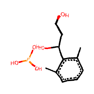 Cc1cccc(C)c1C(O)CCO.OP(O)O